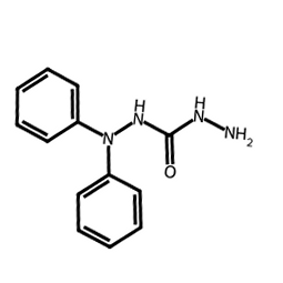 NNC(=O)NN(c1ccccc1)c1ccccc1